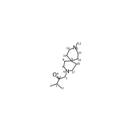 CC(C)C(=O)CN1CCC2(CCN(C)CC2)CC1